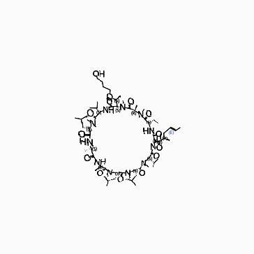 C/C=C/C[C@@H](C)[C@H]1ON2C(=O)[C@H](C(C)C)N(C)C(=O)[C@H](CC(C)C)N(C)C(=O)[C@H](CC(C)C)N(C)C(=O)[C@@H](C)NC(=O)[C@H](C)NC(=O)[C@H](CC(C)C)N(C)C(=O)[C@H](C(C)C)NC(=O)[C@H]([C@H](C)OCCCCO)N(C)C(=O)[C@@H](C)N(C)C(=O)[C@H](CC)NC(=O)[C@H]12